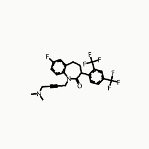 CN(C)CC#CCN1C(=O)C(c2ccc(C(F)(F)F)cc2C(F)(F)F)CCc2cc(F)ccc21